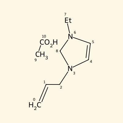 C=CCN1C=CN(CC)C1.CC(=O)O